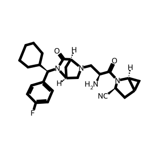 N#C[C@@H]1CC2C[C@@H]2N1C(=O)[C@@H](N)CN1C[C@@H]2C[C@H]1C(=O)N2[C@@H](c1ccc(F)cc1)C1CCCCC1